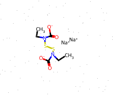 CCN(SSN(CC)C(=O)[O-])C(=O)[O-].[Na+].[Na+]